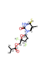 Cc1cn([C@H]2C[C@H](F)[C@@](F)(COC(=O)C(C)C)O2)c(=O)[nH]c1=S